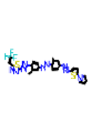 Cc1cc(/N=N/c2ccc(N3CCCC3)s2)ccc1/N=N/c1ccc(/N=N/c2nnc(CC(F)(F)F)s2)c(C)c1